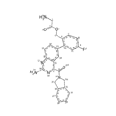 NCC(=O)OCc1ccc(F)cc1-c1ccc2nc(N)nc(C(=O)N3Cc4ccccc4C3)c2c1